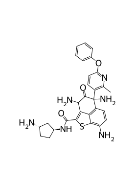 Cc1nc(Oc2ccccc2)ccc1C1(N)C(=O)C(N)c2c(C(=O)N[C@H]3CC[C@H](N)C3)sc3c(N)ccc1c23